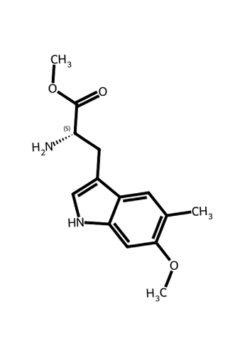 COC(=O)[C@@H](N)Cc1c[nH]c2cc(OC)c(C)cc12